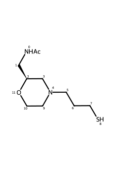 CC(=O)NC[C@H]1CN(CCCS)CCO1